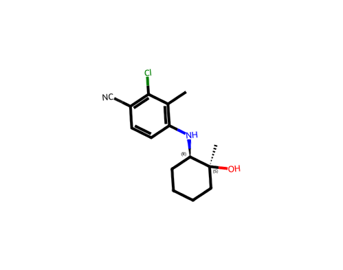 Cc1c(N[C@@H]2CCCC[C@]2(C)O)ccc(C#N)c1Cl